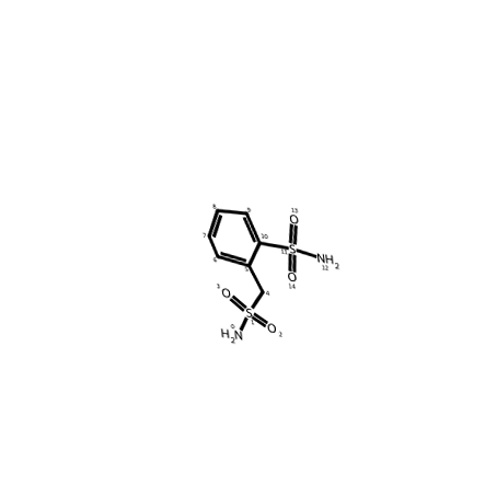 NS(=O)(=O)Cc1ccccc1S(N)(=O)=O